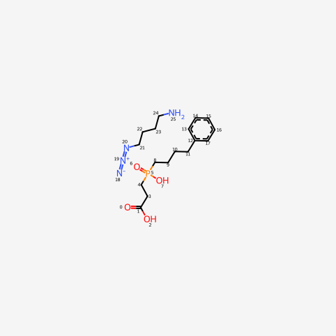 O=C(O)CCP(=O)(O)CCCCc1ccccc1.[N-]=[N+]=NCCCCN